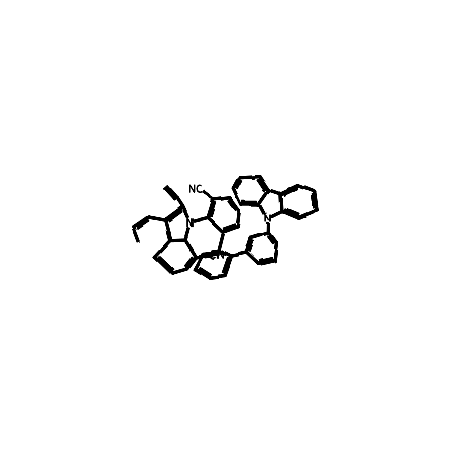 C=CC1=C(/C=C\C)C2C=CC=C(C#N)C2N1c1c(C#N)cccc1-c1ccccc1-c1cccc(-n2c3ccccc3c3ccccc32)c1